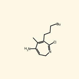 CCC(C)CCCC1=C(C)C(N)=CCN=C1Cl